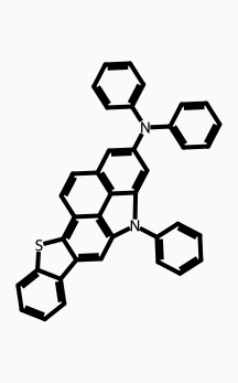 c1ccc(N(c2ccccc2)c2cc3ccc4c5sc6ccccc6c5cc5c4c3c(c2)n5-c2ccccc2)cc1